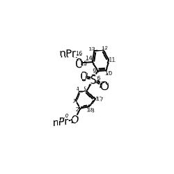 CCCOc1ccc(S(=O)(=O)c2ccccc2OCCC)cc1